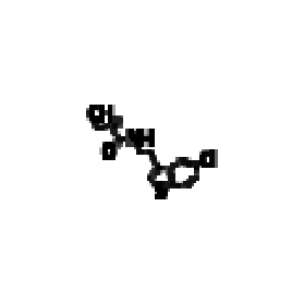 C=CCC(=O)NCCc1csc2ccc(Cl)cc12